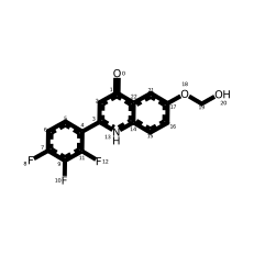 O=c1cc(-c2ccc(F)c(F)c2F)[nH]c2ccc(OCO)cc12